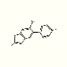 CC1=Cc2cc(-c3ccc(C)cc3)c(Br)cc2C1